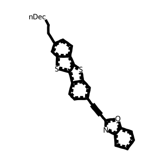 CCCCCCCCCCCCc1ccc2c(c1)sc1c3ccc(C#Cc4nc5ccccc5o4)cc3sc21